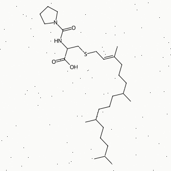 C/C(=C\CSCC(NC(=O)N1CCCC1)C(=O)O)CCCC(C)CCCC(C)CCCC(C)C